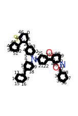 C1=CC(c2ccc(N(c3ccc(-c4ccccc4)cc3)c3ccc4c(c3)oc3ccc5nc(-c6ccccc6)oc5c34)cc2)C2C(=C1)Sc1ccccc12